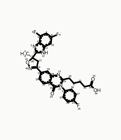 C[C@]1(c2nc3c(F)cc(F)cc3[nH]2)CC(c2ccc3c(=O)n(-c4ccc(F)cc4)c(CCCCC(=O)O)nc3c2)=NO1